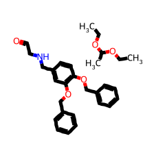 CCOC(C)OCC.O=CCNCc1ccc(OCc2ccccc2)c(OCc2ccccc2)c1